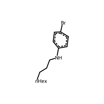 CCCCCCCCCNc1ccc(Br)cc1